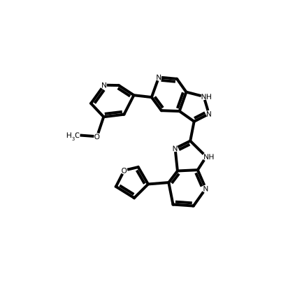 COc1cncc(-c2cc3c(-c4nc5c(-c6ccoc6)ccnc5[nH]4)n[nH]c3cn2)c1